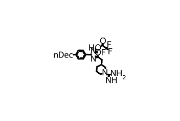 CCCCCCCCCCc1ccc(-c2noc(CC3CCCN(C(=N)N)C3)n2)cc1.O=C(O)C(F)(F)F